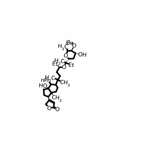 CCCC1C(C(C)(C)CC[C@@H](CC)OC(C)(CC)[C@H]2C[C@@H](O)[C@H](OC(C)CC)C(C)O2)CC[C@]2(C)[C@@H](C3=CC(=O)OC3)CC[C@]12O